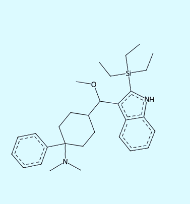 CC[Si](CC)(CC)c1[nH]c2ccccc2c1C(OC)C1CCC(c2ccccc2)(N(C)C)CC1